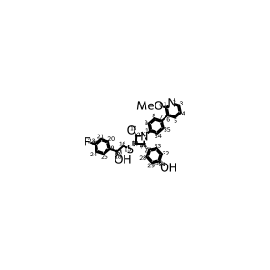 COc1ncccc1-c1ccc(N2C(=O)[C@H](SC[C@@H](O)c3ccc(F)cc3)[C@H]2c2ccc(O)cc2)cc1